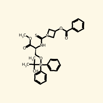 COC(=O)[C@H](CO[Si](c1ccccc1)(c1ccccc1)C(C)(C)C)NC(=S)N1CC(OC(=O)c2ccccc2)C1